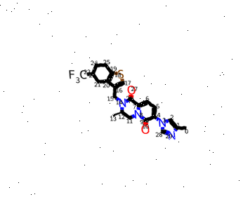 Cc1cn(-c2ccc3n(c2=O)C[C@@H](C)N(Cc2csc4c2CC(C(F)(F)F)CC4)C3=O)cn1